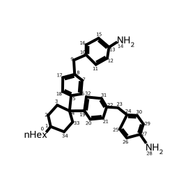 CCCCCCC1CCC(c2ccc(Cc3ccc(N)cc3)cc2)(c2ccc(Cc3ccc(N)cc3)cc2)CC1